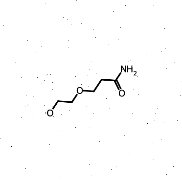 NC(=O)CCOCC[O]